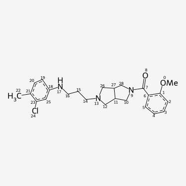 COc1ccccc1C(=O)N1CC2CN(CCCNc3ccc(C)c(Cl)c3)CC2C1